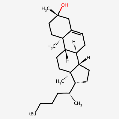 C[C@H](CCCC(C)(C)C)[C@H]1CC[C@H]2[C@@H]3CC=C4C[C@@](C)(O)CC[C@]4(C)[C@H]3CC[C@]12C